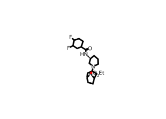 CCOC(=O)N1C2CCC1CC(N1CCC[C@H](NC(=O)C3CCC(F)C(F)C3)C1)C2